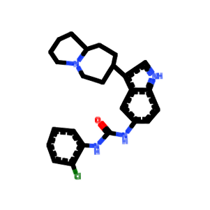 O=C(Nc1ccc2[nH]cc(C3CCC4CCCCN4CC3)c2c1)Nc1ccccc1Cl